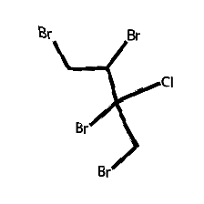 ClC(Br)(CBr)C(Br)CBr